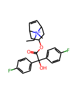 CC[N+]1(C)C2C=CC1CC(OC(=O)C(O)(c1ccc(F)cc1)c1ccc(F)cc1)C2